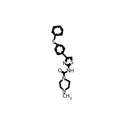 CN1CCN(C(=O)Nc2nc(-c3ccc(Sc4ccccc4)cc3)cs2)CC1